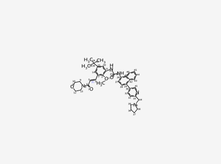 COc1c(/C=C/C(=O)N2CCOCC2)cc(C(C)(C)C)cc1NC(=O)Nc1ccc(-c2ccc(CN3CCCC3)nc2)c2ccccc12